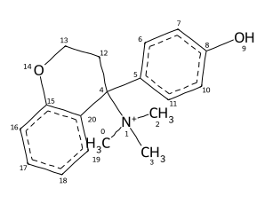 C[N+](C)(C)C1(c2ccc(O)cc2)CCOc2ccccc21